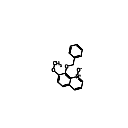 COc1ccc2ccc[n+]([O-])c2c1OCc1ccccc1